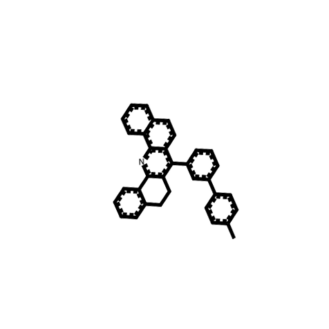 Cc1ccc(-c2cccc(-c3c4c(nc5c3ccc3ccccc35)-c3ccccc3CC4)c2)cc1